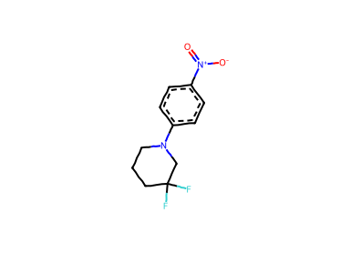 O=[N+]([O-])c1ccc(N2CCCC(F)(F)C2)cc1